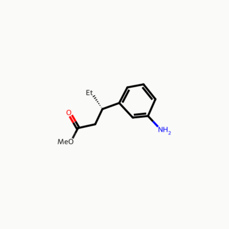 CC[C@@H](CC(=O)OC)c1cccc(N)c1